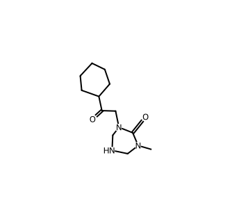 CN1CNCN(CC(=O)C2CCCCC2)C1=O